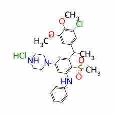 COc1cc(C(C)c2cc(N3CCNCC3)cc(Nc3ccccc3)c2S(C)(=O)=O)cc(Cl)c1OC.Cl